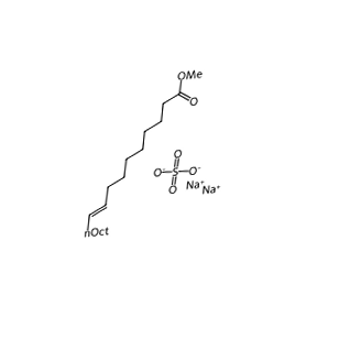 CCCCCCCCC=CCCCCCCCC(=O)OC.O=S(=O)([O-])[O-].[Na+].[Na+]